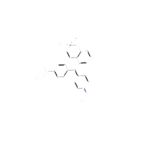 CCN=C1C=CC(=C(c2ccc(N(C)C)cc2)c2cccc3c2C=CC(C)(C)O3)C=C1